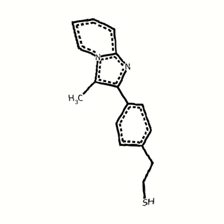 Cc1c(-c2ccc(CCS)cc2)nc2ccccn12